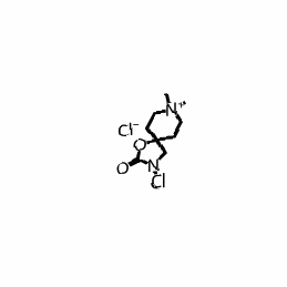 C[N+]1(C)CCC2(CC1)CN(Cl)C(=O)O2.[Cl-]